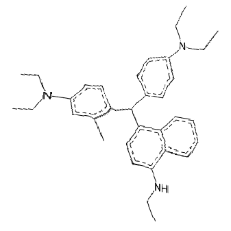 CCNc1ccc(C(c2ccc(N(CC)CC)cc2)c2ccc(N(CC)CC)cc2C)c2ccccc12